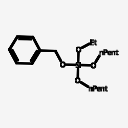 CCCCCO[Si](OCC)(OCCCCC)OCc1ccccc1